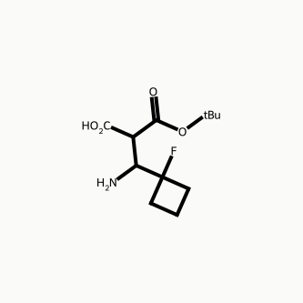 CC(C)(C)OC(=O)C(C(=O)O)C(N)C1(F)CCC1